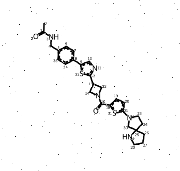 CC(=O)NCc1ccc(-c2cnc(C3CN(C(=O)c4ccc(N5CCC6(CCCN6)C5)s4)C3)s2)cc1